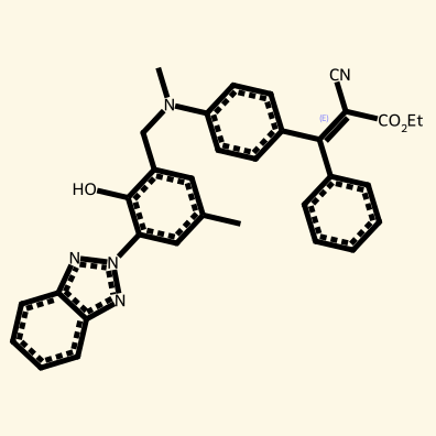 CCOC(=O)/C(C#N)=C(\c1ccccc1)c1ccc(N(C)Cc2cc(C)cc(-n3nc4ccccc4n3)c2O)cc1